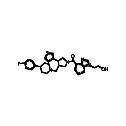 O=C(c1cccc2c1ncn2CCO)N1CC(CN2CCC(c3ccc(F)cc3)CC2)C(c2ccsc2)C1